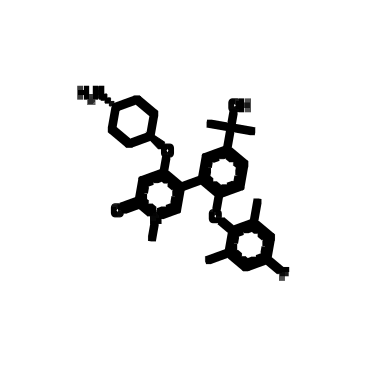 Cc1cc(F)cc(C)c1Oc1ccc(C(C)(C)O)cc1-c1cn(C)c(=O)cc1O[C@H]1CC[C@H](N)CC1